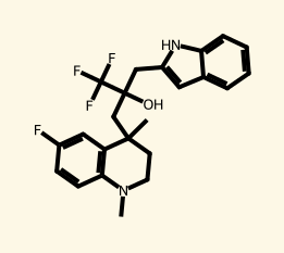 CN1CCC(C)(CC(O)(Cc2cc3ccccc3[nH]2)C(F)(F)F)c2cc(F)ccc21